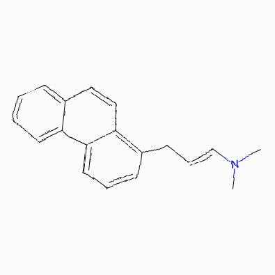 CN(C)C=CCc1cccc2c1ccc1ccccc12